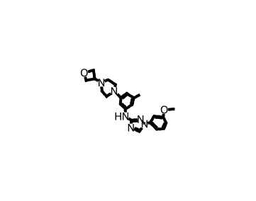 COc1cccc(-n2cnc(Nc3cc(C)cc(N4CCN(C5COC5)CC4)c3)n2)c1